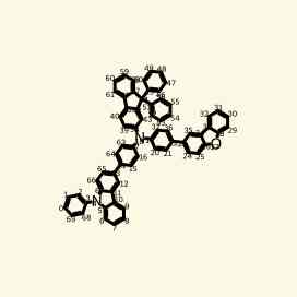 c1ccc(-n2c3ccccc3c3cc(-c4ccc(N(c5ccc(-c6ccc7oc8ccccc8c7c6)cc5)c5ccc6c(c5)C(c5ccccc5)(c5ccccc5)c5ccccc5-6)cc4)ccc32)cc1